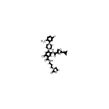 Cc1ccc(F)cc1N1CCN(c2cc(Cl)c(C(=O)NCCCN3CCOC3=O)cc2NC(=O)c2coc(C3CC3)n2)CC1